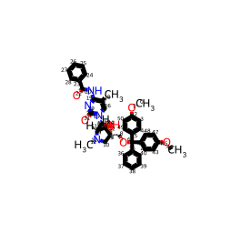 COc1ccc(C(OC[C@@]23CN(C)[C@@H]([C@H](n4cc(C)c(NC(=O)c5ccccc5)nc4=O)O2)[C@@H]3O)(c2ccccc2)c2ccc(OC)cc2)cc1